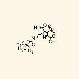 CC(C)(C)OC(=O)NCCn1nc(C(=O)O)c([N+](=O)[O-])c1C(=O)O